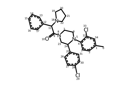 Cc1ccc(N2CCN(C(=O)C(c3ccccc3)N3CCCC3)CC2c2ccc(Cl)cc2)c(Cl)c1